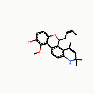 C/C=C\CC1Oc2ccc(O)c(OC)c2-c2ccc3c(c21)C(C)=CC(C)(C)N3